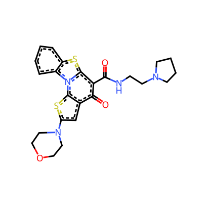 O=C(NCCN1CCCC1)c1c(=O)c2cc(N3CCOCC3)sc2n2c1sc1ccccc12